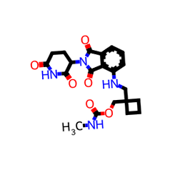 CNC(=O)OCC1(CNc2cccc3c2C(=O)N(C2CCC(=O)NC2=O)C3=O)CCC1